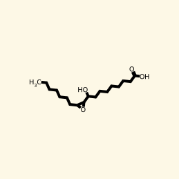 CCCCCCCC1OC1C(O)CCCCCCCC(=O)O